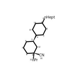 CCCCCCCC1CCC([C@@H]2CCC[C@@](C#N)(CCC)C2)CC1